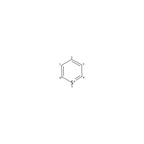 [c]1cccc[s+]1